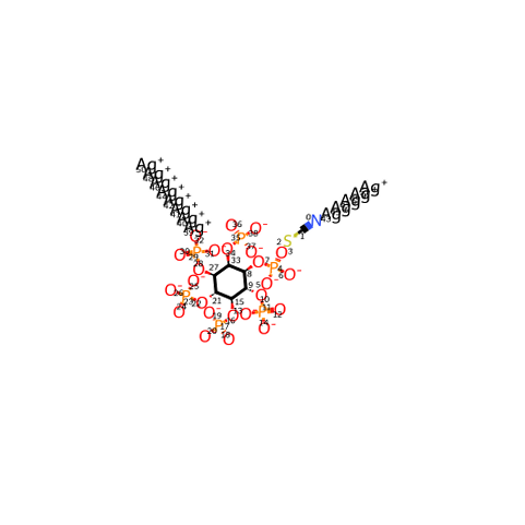 N#C[S-].O=P([O-])([O-])O[C@H]1[C@H](OP(=O)([O-])[O-])[C@@H](OP(=O)([O-])[O-])[C@H](OP(=O)([O-])[O-])[C@@H](OP(=O)([O-])[O-])[C@H]1OP(=O)([O-])[O-].[Ag+].[Ag+].[Ag+].[Ag+].[Ag+].[Ag+].[Ag+].[Ag+].[Ag+].[Ag+].[Ag+].[Ag+].[Ag+]